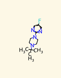 CC(C)(C)N1CCN(c2ncc(F)cn2)CC1